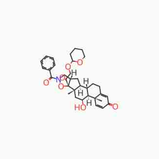 C[C@]12C=CC(=O)C=C1CC[C@@H]1[C@@H]2[C@@H](O)C[C@@]2(C)[C@H]1C[C@H]1CN(C(=O)c3ccccc3)O[C@]12C(=O)COC1CCCCO1